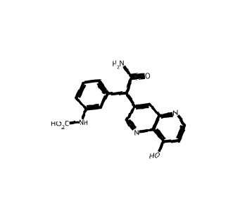 NC(=O)C(c1cccc(NC(=O)O)c1)c1cnc2c(O)ccnc2c1